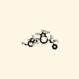 CC(C)C[C@@H]1CCO[C@@H]2[C@H](CN[C@@H]2C(=O)N[C@@H]2C/C=C\C[C@@H](/C(N)=C/N(N)c3ccccc3)SC3OC2C(O)C(O)C3O)C1